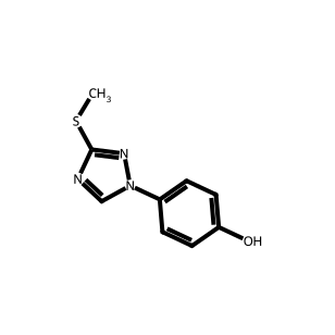 CSc1ncn(-c2ccc(O)cc2)n1